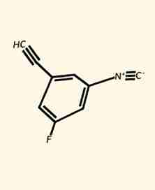 [C-]#[N+]c1cc(F)cc(C#C)c1